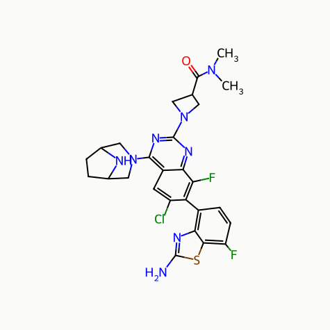 CN(C)C(=O)C1CN(c2nc(N3CC4CCC(C3)N4)c3cc(Cl)c(-c4ccc(F)c5sc(N)nc45)c(F)c3n2)C1